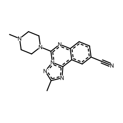 Cc1nc2c3cc(C#N)ccc3nc(N3CCN(C)CC3)n2n1